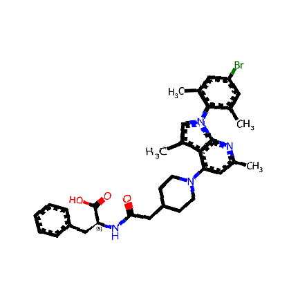 Cc1cc(N2CCC(CC(=O)N[C@@H](Cc3ccccc3)C(=O)O)CC2)c2c(C)cn(-c3c(C)cc(Br)cc3C)c2n1